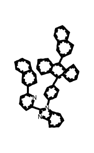 c1cc(-c2ccc3ccccc3c2)nc(-c2nc3ccccc3n2-c2ccc(-c3c4ccccc4c(-c4ccc5ccccc5c4)c4ccccc34)cc2)c1